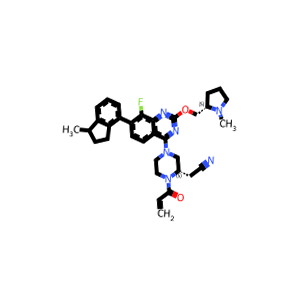 C=CC(=O)N1CCN(c2nc(OC[C@@H]3CCCN3C)nc3c(F)c(-c4cccc5c4CCC5C)ccc23)C[C@@H]1CC#N